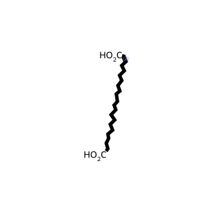 O=C(O)/C=C\CCCCCCCCCCCCCCCCCCC(=O)O